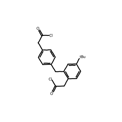 CC(C)(C)c1ccc(CC(=O)Cl)c(Cc2ccc(CC(=O)Cl)cc2)c1